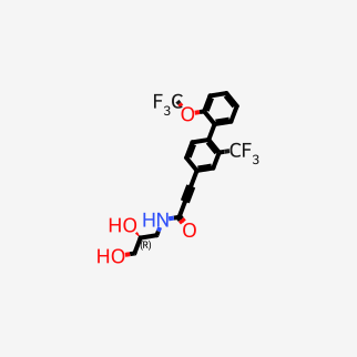 O=C(C#Cc1ccc(-c2ccccc2OC(F)(F)F)c(C(F)(F)F)c1)NC[C@@H](O)CO